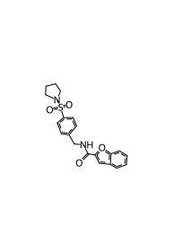 O=C(NCc1ccc(S(=O)(=O)N2CCCC2)cc1)c1cc2ccccc2o1